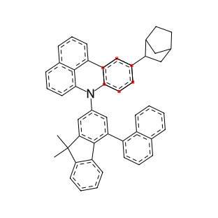 CC1(C)c2ccccc2-c2c(-c3cccc4ccccc34)cc(N(c3ccc(C4CC5CCC4C5)cc3)c3cccc4cccc(C5CCCCC5)c34)cc21